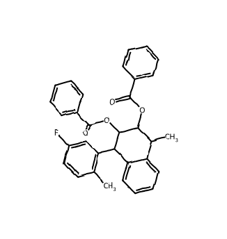 Cc1ccc(F)cc1C1c2ccccc2C(C)C(OC(=O)c2ccccc2)C1OC(=O)c1ccccc1